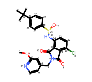 COc1cc(CN2C(=O)c3c(Cl)ccc(N[S+]([O-])c4ccc(C(C)(C)C)cc4)c3C2=O)ccn1